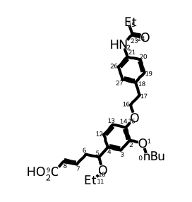 CCCCOc1cc(C(CC=CC(=O)O)OCC)ccc1OCCc1ccc(NC(=O)CC)cc1